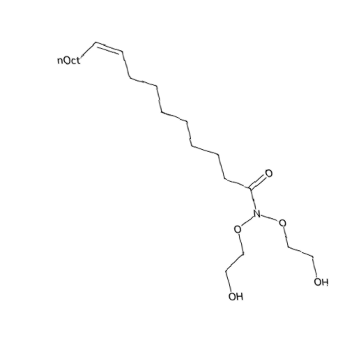 CCCCCCCC/C=C\CCCCCCCC(=O)N(OCCO)OCCO